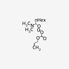 C=CCOC(=O)OOOC(CCCCCC)N(C)C